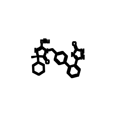 CCCCC1=N[C@@](C)(C2CCCCC2)C(=O)N1Cc1ccc(-c2ccccc2C2=NC(=O)N=N2)cc1